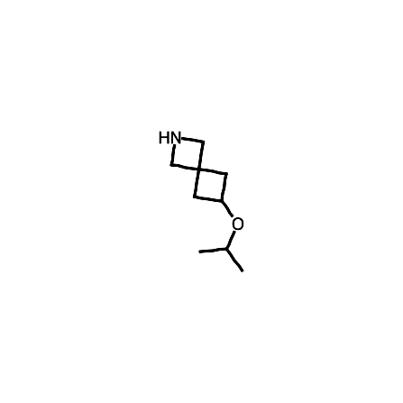 CC(C)OC1CC2(CNC2)C1